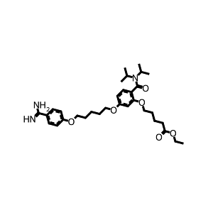 CCOC(=O)CCCCOc1cc(OCCCCCOc2ccc(C(=N)N)cc2)ccc1C(=O)N(C(C)C)C(C)C